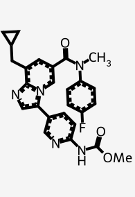 COC(=O)Nc1ccc(-c2cnc3c(CC4CC4)cc(C(=O)N(C)c4ccc(F)cc4)cn23)cn1